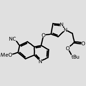 COc1cc2nccc(Oc3cnn(CC(=O)OC(C)(C)C)c3)c2cc1C#N